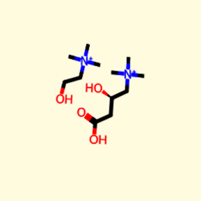 C[N+](C)(C)CCO.C[N+](C)(C)C[C@H](O)CC(=O)O